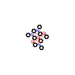 c1ccc(N2c3ccccc3B3c4cc5c(cc4Oc4cccc2c43)N(c2ccccc2)c2cccc3c2B5c2c(cc4c5c2Oc2ccccc2B5c2ccccc2O4)N3c2ccccc2)cc1